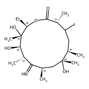 CC[C@H]1OC(=O)[C@H](C)C(I)C[C@@H](C)[C@](C)(O)C[C@@H](C)C(=N)[C@H](C)[C@@H](O)[C@]1(C)O